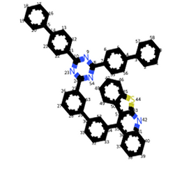 c1ccc(-c2ccc(-c3nc(-c4ccc(-c5ccccc5)cc4)nc(-c4cccc(-c5cccc(-c6c7ccccc7nc7sc8ccccc8c67)c5)c4)n3)cc2)cc1